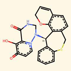 O=C1NCN([C@@H]2c3ccccc3SCc3ccc4c(c32)OCC=C4)n2ccc(=O)c(O)c21